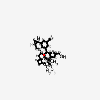 CC(C)(C)S(=O)(=O)N1C[C@@H](N2C[C@H]3C[C@H]3c3cc(C#N)cc(-c4ccnc5cc(CO)sc45)c32)CC12CCC2